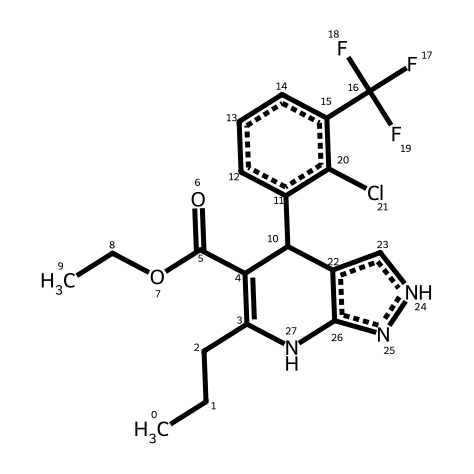 CCCC1=C(C(=O)OCC)C(c2cccc(C(F)(F)F)c2Cl)c2c[nH]nc2N1